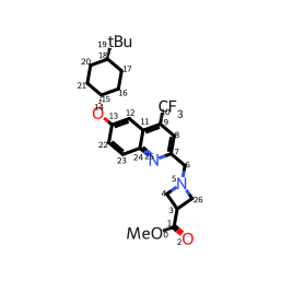 COC(=O)C1CN(Cc2cc(C(F)(F)F)c3cc(O[C@H]4CC[C@H](C(C)(C)C)CC4)ccc3n2)C1